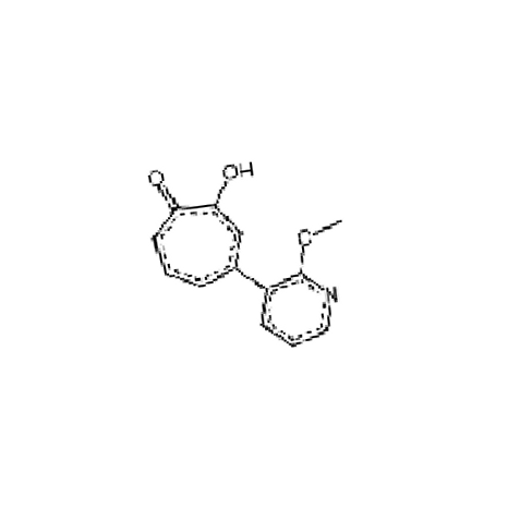 COc1ncccc1-c1cccc(=O)c(O)c1